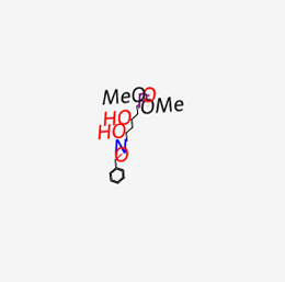 COP(=O)(CC[C@@H](O)C[C@@H](O)/C=N/OCc1ccccc1)OC